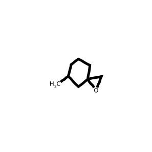 CC1CCCC2(CO2)C1